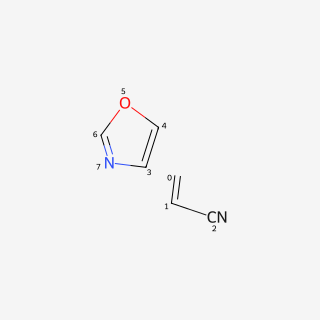 C=CC#N.c1cocn1